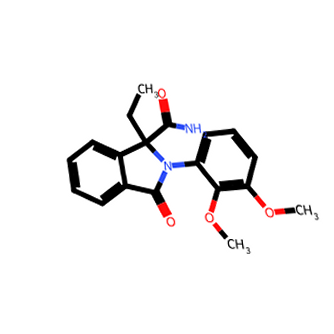 CCC1(C(N)=O)c2ccccc2C(=O)N1c1cccc(OC)c1OC